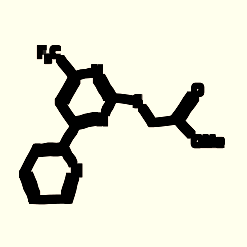 COC(=O)CSc1nc(-c2ccccn2)cc(C(F)(F)F)n1